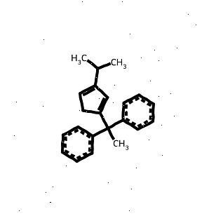 CC(C)C1=CCC(C(C)(c2ccccc2)c2ccccc2)=C1